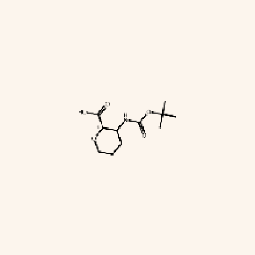 CC(C)(C)OC(=O)NC1CCCO[C@H]1C(=O)O